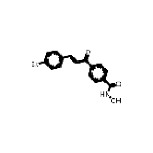 CCc1ccc(C=CC(=O)c2ccc(C(=O)NO)cc2)cc1